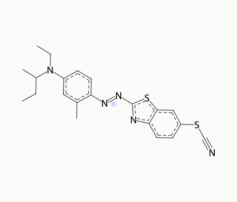 CCC(C)N(CC)c1ccc(/N=N/c2nc3ccc(SC#N)cc3s2)c(C)c1